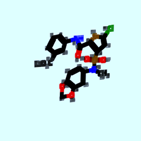 CCOC(=O)c1cccc(NC(=O)c2sc(Cl)cc2S(=O)(=O)N(C)c2ccc3c(c2)OCO3)c1